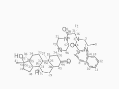 CCCN(C(=O)c1ccc2ccccc2n1)[C@@H](C)C(=O)N1CCN([C@H]2C[C@@]3(C)C(CC[C@@H]4C3CC[C@@]3(C)C4CC[C@]3(C)O)CC2=O)CC1